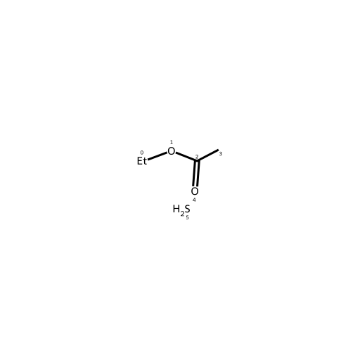 CCOC(C)=O.S